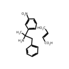 CC(N)(Cc1ccccc1)c1cccc([N+](=O)[O-])c1.O=C(O)C=CC(=O)O